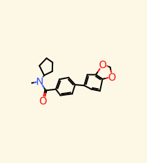 CN(C(=O)c1ccc(-c2ccc3c(c2)OCO3)cc1)C1CCCC1